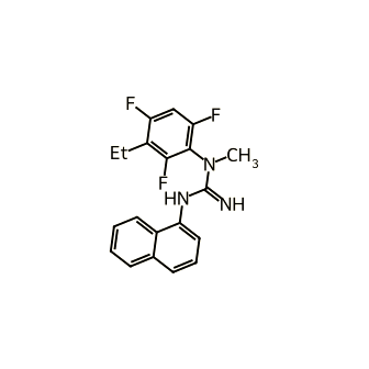 CCc1c(F)cc(F)c(N(C)C(=N)Nc2cccc3ccccc23)c1F